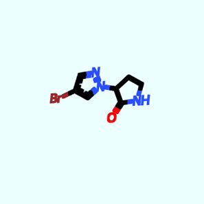 O=C1NCCC1n1cc(Br)cn1